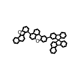 c1ccc2c(c1)-c1ccc(-c3ccc4c(c3)-c3cccc5c(-c6cccc7oc8c9ccccc9ccc8c67)ccc(c35)O4)cc1C21c2ccccc2-c2c1ccc1ccccc21